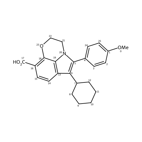 COc1ccc(-c2c(C3CCCCC3)c3ccc(C(=O)O)c4c3n2CCO4)cc1